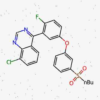 CCCCS(=O)(=O)c1cccc(Oc2ccc(F)c(-c3ncnc4c(Cl)cccc34)c2)c1